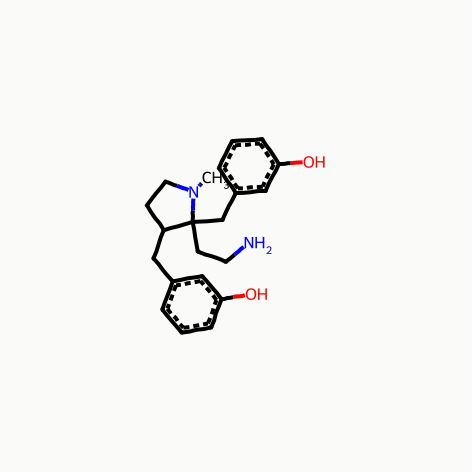 CN1CCC(Cc2cccc(O)c2)C1(CCN)Cc1cccc(O)c1